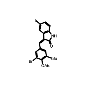 COc1c(Br)cc(C=C2C(=O)Nc3ccc(I)cc32)cc1C(C)(C)C